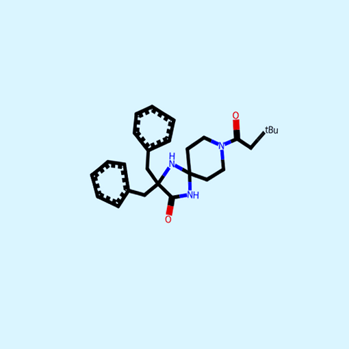 CC(C)(C)CC(=O)N1CCC2(CC1)NC(=O)C(Cc1ccccc1)(Cc1ccccc1)N2